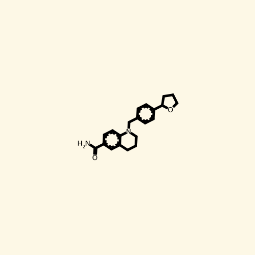 NC(=O)c1ccc2c(c1)CCCN2Cc1ccc(C2CCCO2)cc1